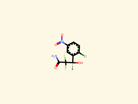 C[C@@](O)(c1cc([N+](=O)[O-])ccc1Cl)C(F)(F)C(N)=O